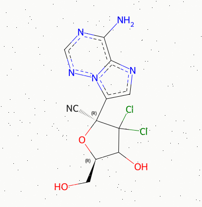 N#C[C@@]1(c2cnc3c(N)ncnn23)O[C@H](CO)C(O)C1(Cl)Cl